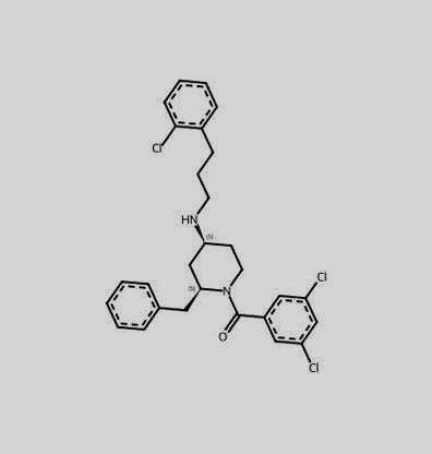 O=C(c1cc(Cl)cc(Cl)c1)N1CC[C@H](NCCCc2ccccc2Cl)C[C@@H]1Cc1ccccc1